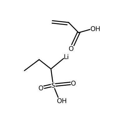 C=CC(=O)O.[Li][CH](CC)S(=O)(=O)O